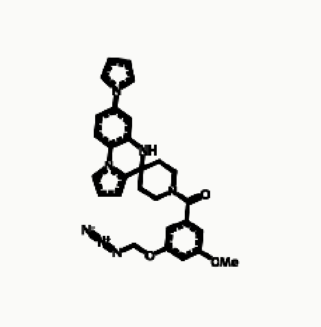 COc1cc(OCN=[N+]=[N-])cc(C(=O)N2CCC3(CC2)Nc2cc(-n4cccc4)ccc2-n2cccc23)c1